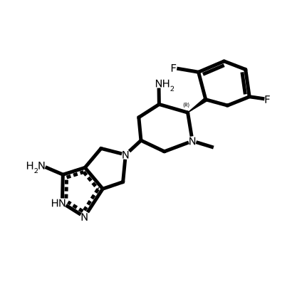 CN1CC(N2Cc3n[nH]c(N)c3C2)CC(N)[C@H]1C1CC(F)=CC=C1F